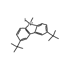 CC(C)(C)c1ccc2c(c1)-c1cc(C(C)(C)C)ccc1[N+]2(C)I